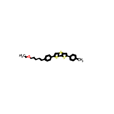 CCOCCCCCc1ccc(-c2cc3sc4cc(-c5ccc(C)cc5)sc4c3s2)cc1